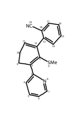 CSC1=C(c2ccccn2)C[CH]C=C1c1ccccc1C#N